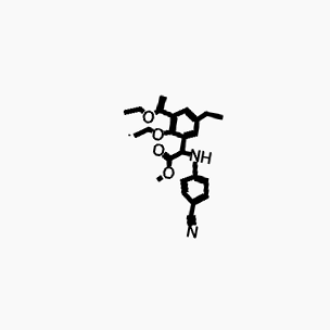 [CH2]COc1c(C(=C)OCC)cc(CC)cc1C(Nc1ccc(C#N)cc1)C(=O)OC